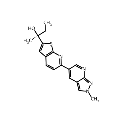 CC[C@](C)(O)c1cc2ccc(-c3cnc4nn(C)cc4c3)nc2s1